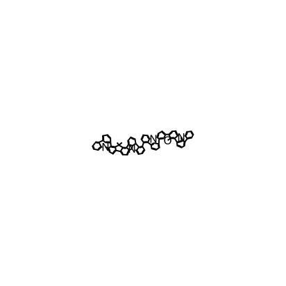 CC1(C)c2c(ccc3c2C2=CC=CC4c5c(-c6cccc7c6c6cccc8c9c%10oc%11c(ccc%12c%11c%11cccc%13c%14ccccc%14n%12c%13%11)c%10ccc9n7c68)cccc5N3C24)-c2ccc3c(c21)c1cccc2c4ccccc4n3c21